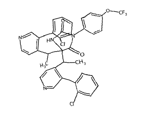 CC(c1ccncc1-c1ccccc1Cl)C1(C(C)c2ccncc2-c2ccccc2Cl)NC(=O)N(c2ccc(OC(F)(F)F)cc2)C1=O